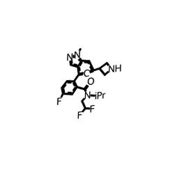 CC(C)N(CC(F)F)C(=O)c1cc(F)ccc1-c1cc(C2CNC2)cc2c1cnn2C